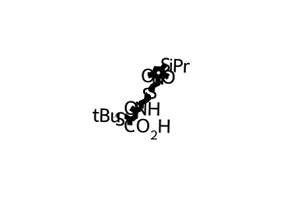 CC(C)SC1CC(=O)N(CCSSCCNC(=O)CC(CSC(C)(C)C)C(=O)O)C1=O